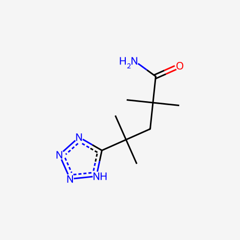 CC(C)(CC(C)(C)c1nnn[nH]1)C(N)=O